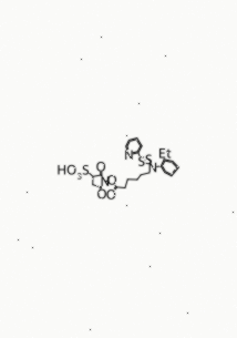 CCc1ccccc1N(CCCCCC(=O)ON1C(=O)CC(S(=O)(=O)O)C1=O)SSc1ccccn1